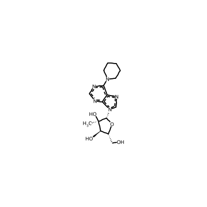 C[C@@]1(O)[C@H](O)[C@@H](CO)O[C@H]1n1cnc2c(N3CCCCC3)ncnc21